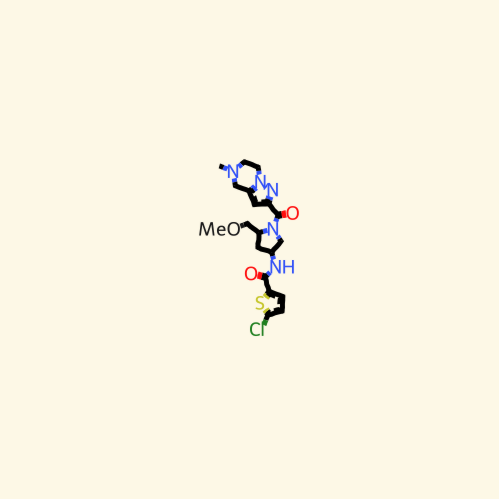 COCC1CC(NC(=O)c2ccc(Cl)s2)CN1C(=O)c1cc2n(n1)CCN(C)C2